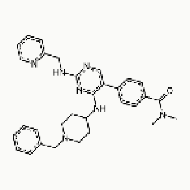 CN(C)C(=O)c1ccc(-c2cnc(NCc3ccccn3)nc2NC2CCN(Cc3ccccc3)CC2)cc1